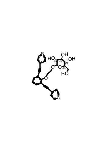 OC[C@H]1OC(OCCOc2c(C#Cc3ccncc3)cccc2C#Cc2ccncc2)[C@H](O)[C@@H](O)[C@@H]1O